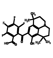 CC1(C)CCN2CCC(C)(C)c3c(O)c(C(=O)c4c(F)c(F)c(F)c(F)c4C(=O)O)cc1c32